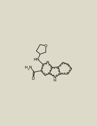 NC(=O)c1cc2[nH]c3ccccc3c2nc1NC1CCOC1